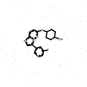 OC1CCC(Oc2ccc3ncc(-c4cncc(F)c4)n3n2)CC1